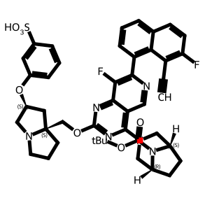 C#Cc1c(F)ccc2cccc(-c3ncc4c(N5C[C@H]6CC[C@@H](C5)N6C(=O)OC(C)(C)C)nc(OC[C@@]56CCCN5C[C@@H](Oc5cccc(S(=O)(=O)O)c5)C6)nc4c3F)c12